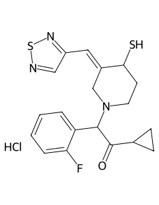 Cl.O=C(C1CC1)C(c1ccccc1F)N1CCC(S)C(=Cc2cnsn2)C1